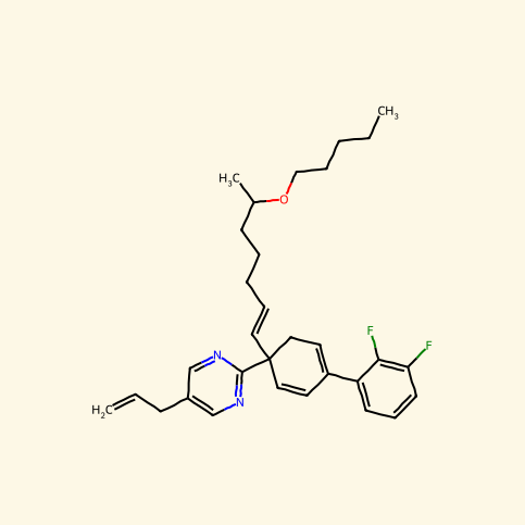 C=CCc1cnc(C2(C=CCCCC(C)OCCCCC)C=CC(c3cccc(F)c3F)=CC2)nc1